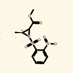 COC(=O)C1[C@H](C)N1S(=O)(=O)c1ccccc1[N+](=O)[O-]